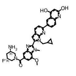 COc1cc(C(=O)N2C[C@H](N)C[C@@H](F)C2)cc2nc(-c3cc4ccc(-c5ccc6nc(O)cc(O)c6c5)nc4n3CC3CC3)n(C)c12